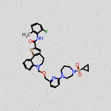 Cc1cccc(F)c1NC(=O)c1cc2c(s1)-c1ccccc1N(COCc1cccc(N3CCCN(S(=O)(=O)C4CC4)CC3)n1)CC2